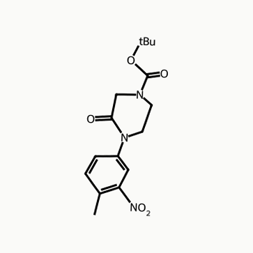 Cc1ccc(N2CCN(C(=O)OC(C)(C)C)CC2=O)cc1[N+](=O)[O-]